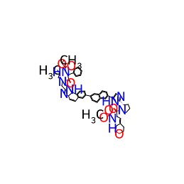 CCCN(CC1=NC2C=Cc3cc(-c4ccc5cc(-c6cnc([C@@H]7CCCN7C(=O)[C@H](C=C7CCOCC7)NC(=O)OC)[nH]6)ccc5c4)ccc3C2N1)C(=O)[C@H](NC(=O)OC)c1ccccc1